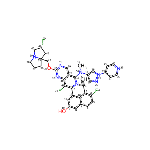 C#Cc1c(F)ccc2cc(O)cc(-c3nc(N(C)c4cnn(-c5ccncc5)c4)c4cnc(OC[C@@]56CCCN5C[C@H](F)C6)nc4c3F)c12